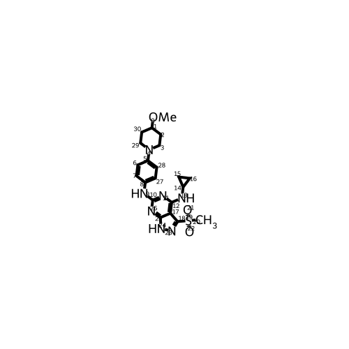 COC1CCN(c2ccc(Nc3nc(NC4CC4)c4c(S(C)(=O)=O)n[nH]c4n3)cc2)CC1